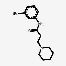 CC(C)(C)c1cccc(NC(=O)CCN2CCCCC2)c1